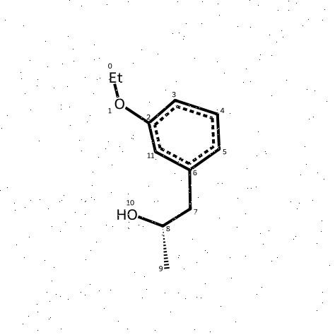 CCOc1cccc(C[C@H](C)O)c1